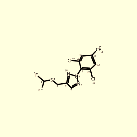 FC(F)SCc1cnn(-c2c(Cl)cc(C(F)(F)F)cc2Cl)n1